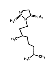 C=C1CC[PH](=C)N1CCC(C)CCCC(C)C